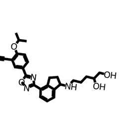 CC(C)Oc1ccc(-c2nc(-c3cccc4c3CCC4NCCCC(O)CO)no2)cc1C#N